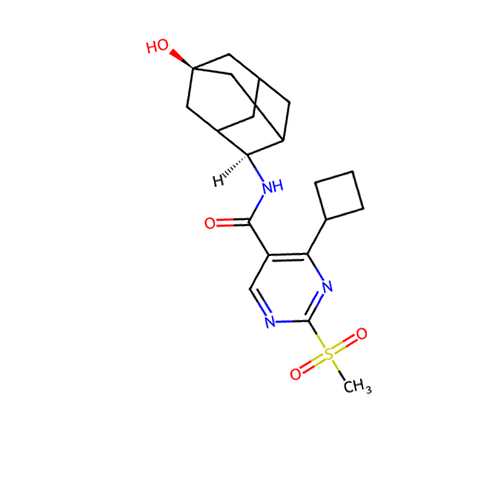 CS(=O)(=O)c1ncc(C(=O)N[C@H]2C3CC4CC2C[C@@](O)(C4)C3)c(C2CCC2)n1